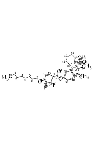 CCCCCCCCOc1ccc(C(=O)Oc2ccc(C(C)[C@H](C)[C@](F)(C(=O)O)C3CCCCC3)cc2)c(F)c1F